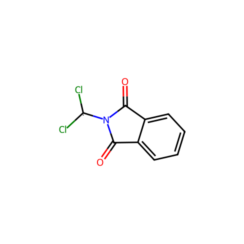 O=C1c2ccccc2C(=O)N1[C](Cl)Cl